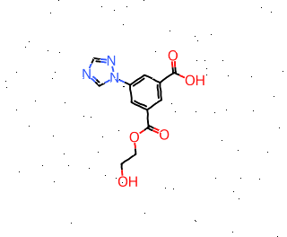 O=C(O)c1cc(C(=O)OCCO)cc(-n2cncn2)c1